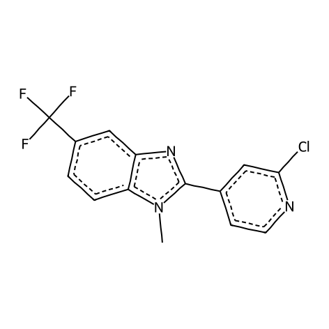 Cn1c(-c2ccnc(Cl)c2)nc2cc(C(F)(F)F)ccc21